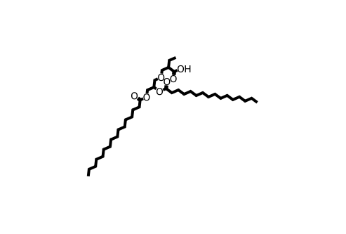 CCCCCCCCCCCCCCCC(=O)OCC(COCC(CC)C(=O)O)OC(=O)CCCCCCCCCCCCCCC